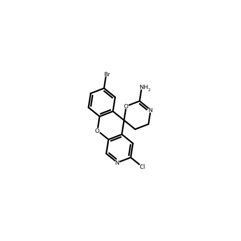 NC1=NCCC2(O1)c1cc(Br)ccc1Oc1cnc(Cl)cc12